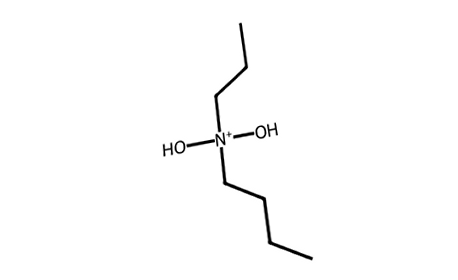 CCCC[N+](O)(O)CCC